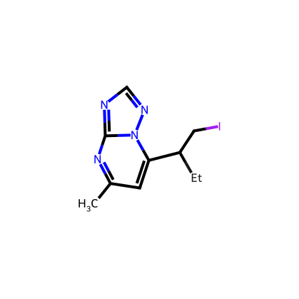 CCC(CI)c1cc(C)nc2ncnn12